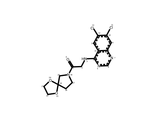 O=C(CNc1ncnc2cc(Cl)c(Cl)cc12)N1CCC2(C1)OCCO2